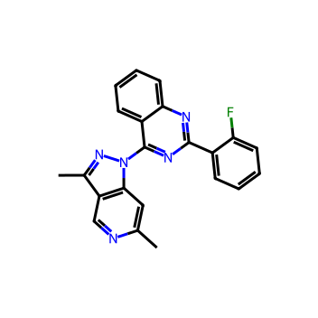 Cc1cc2c(cn1)c(C)nn2-c1nc(-c2ccccc2F)nc2ccccc12